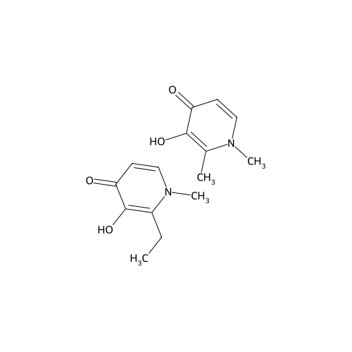 CCc1c(O)c(=O)ccn1C.Cc1c(O)c(=O)ccn1C